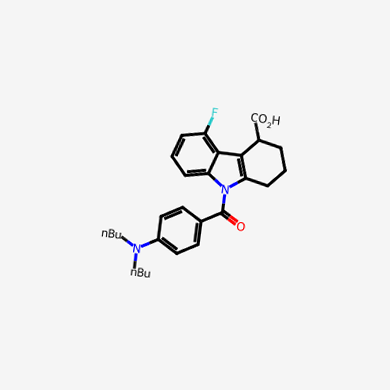 CCCCN(CCCC)c1ccc(C(=O)n2c3c(c4c(F)cccc42)C(C(=O)O)CCC3)cc1